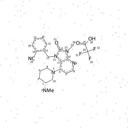 CN[C@@H]1CCCN(c2ccnc3c2n(Cc2ccccc2C#N)c(=O)n3C)C1.O=C(O)C(F)(F)F